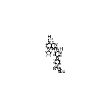 CC1=CCN(C2CCCC2)c2nc(Nc3ccc(N4CCN(C(=O)OC(C)(C)C)CC4)cn3)ncc21